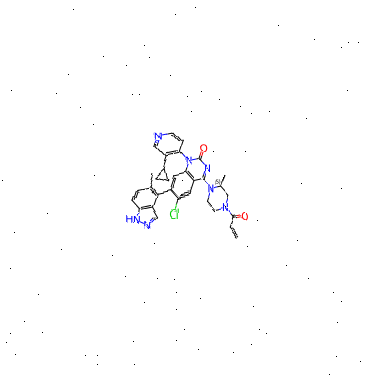 C=CC(=O)N1CCN(c2nc(=O)n(-c3ccncc3C3CC3)c3cc(-c4c(C)ccc5[nH]ncc45)c(Cl)cc23)[C@@H](C)C1